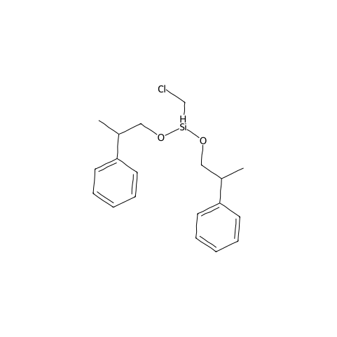 CC(CO[SiH](CCl)OCC(C)c1ccccc1)c1ccccc1